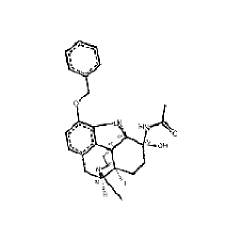 CC(=O)N[C@]1(O)CC[C@H]2[C@H]3Cc4ccc(OCc5ccccc5)c5c4[C@@]2(CCN3C)[C@H]1O5